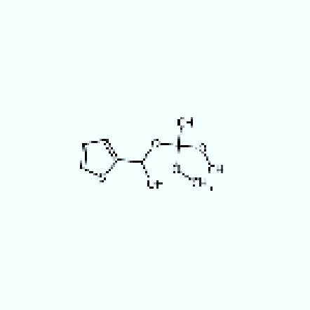 COC(C)(OC)OC(O)c1cccs1